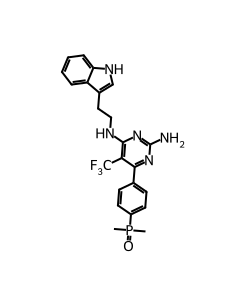 CP(C)(=O)c1ccc(-c2nc(N)nc(NCCc3c[nH]c4ccccc34)c2C(F)(F)F)cc1